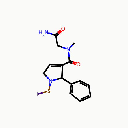 CN(CC(N)=O)C(=O)C1=CCN(SI)C1c1ccccc1